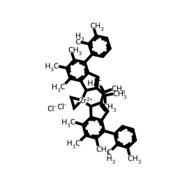 Cc1cccc(-c2c(C)c(C)c(C)c3c2C=C(C(C)C)[CH]3[Zr+2]2([CH]3C(C(C)C)=Cc4c(-c5cccc(C)c5C)c(C)c(C)c(C)c43)[CH2][CH2]2)c1C.[Cl-].[Cl-]